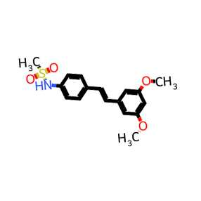 COc1cc(C=Cc2ccc(NS(C)(=O)=O)cc2)cc(OC)c1